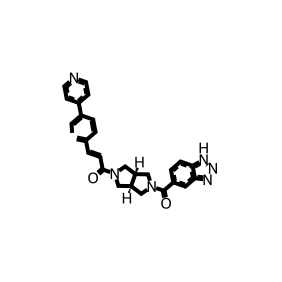 C=C(/C=C\C(=C/C)c1ccncc1)/C=C/C(=O)N1C[C@@H]2CN(C(=O)c3ccc4[nH]nnc4c3)C[C@H]2C1